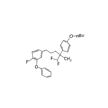 CCCCOc1ccc(C(C)(CCCc2ccc(F)c(Oc3ccccc3)c2)C(F)F)cc1